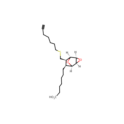 C#CCCCCCSC[C@@H]1[C@H](CCCCCCC(=O)O)[C@H]2O[C@@H]1[C@H]1O[C@H]12